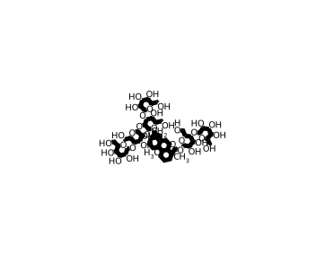 C=C1CC23CCC4C(C)(C(=O)OC5OC(CO)C(OC6OC(CO)C(O)C(O)C6O)C(O)C5O)CCCC4(C)C2CCC1(OC1OC(CO)C(O)C(OC2OC(CO)C(O)C(O)C2O)C1OC1OC(CO)C(OC2OC(CO)C(O)C(O)C2O)C(O)C1O)C3